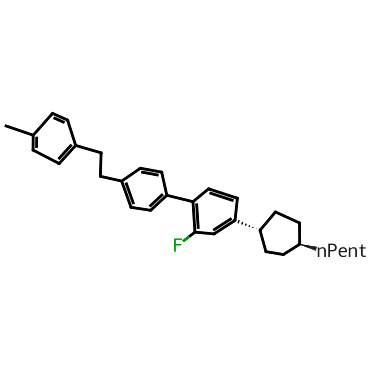 CCCCC[C@H]1CC[C@H](c2ccc(-c3ccc(CCc4ccc(C)cc4)cc3)c(F)c2)CC1